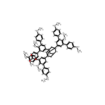 COc1ccc(-c2cc(C34CC5CC(c6cc(-c7ccc(OC)cc7)c(OC)c(-c7ccc(OC)cc7)c6)(C3)CC(c3cc(-c6ccc(OC)cc6)c(OC)c(-c6ccc(OC)cc6)c3)(C5)C4)cc(-c3ccc(OC)cc3)c2OC)cc1